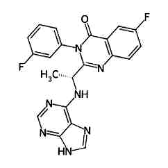 C[C@@H](Nc1ncnc2[nH]cnc12)c1nc2ccc(F)cc2c(=O)n1-c1cccc(F)c1